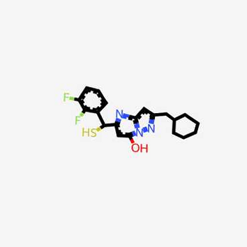 Oc1cc(C(S)c2cccc(F)c2F)nc2cc(CC3CCCCC3)nn12